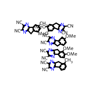 COc1cc2c(cc1OC)-c1nc(C#N)c(C#N)nc1C2.COc1ccc2c(c1)-c1nc(C#N)c(C#N)nc1C2.COc1ccc2c(c1OC)Cc1nc(C#N)c(C#N)nc1-2.Cc1ccc2c(c1)-c1nc(C#N)c(C#N)nc1C2.Cc1cccc2c1Cc1nc(C#N)c(C#N)nc1-2